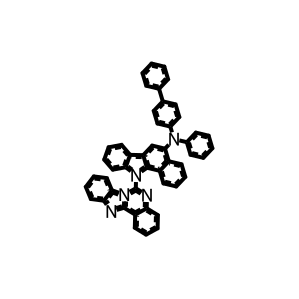 c1ccc(-c2ccc(N(c3ccccc3)c3cc4c5ccccc5n(-c5nc6ccccc6c6nc7ccccc7n56)c4c4ccccc34)cc2)cc1